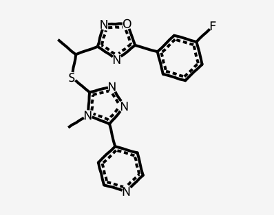 CC(Sc1nnc(-c2ccncc2)n1C)c1noc(-c2cccc(F)c2)n1